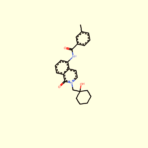 Cc1cccc(C(=O)Nc2cccc3c(=O)n(CC4(O)CCCCC4)ccc23)c1